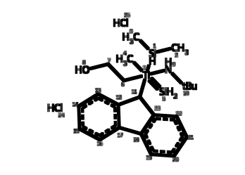 C[SiH](C)[Ti]([CH3])(=[SiH2])([CH2]CO)([NH]C(C)(C)C)[CH]1c2ccccc2-c2ccccc21.Cl.Cl